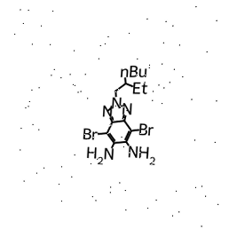 CCCCC(CC)Cn1nc2c(Br)c(N)c(N)c(Br)c2n1